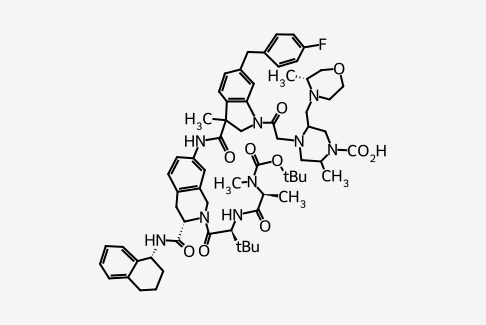 CC1CN(CC(=O)N2CC(C)(C(=O)Nc3ccc4c(c3)CN(C(=O)[C@@H](NC(=O)[C@H](C)N(C)C(=O)OC(C)(C)C)C(C)(C)C)[C@H](C(=O)N[C@@H]3CCCc5ccccc53)C4)c3ccc(Cc4ccc(F)cc4)cc32)C(CN2CCOC[C@H]2C)CN1C(=O)O